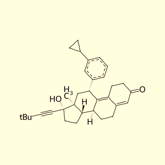 CC(C)(C)C#C[C@]1(O)CC[C@H]2[C@@H]3CCC4=CC(=O)CCC4=C3[C@@H](c3cccc(C4CC4)c3)C[C@@]21C